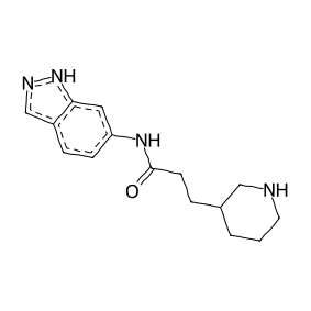 O=C(CCC1CCCNC1)Nc1ccc2cn[nH]c2c1